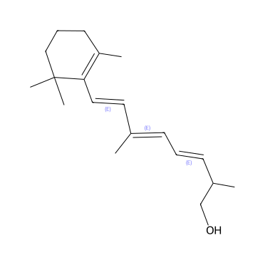 CC1=C(/C=C/C(C)=C/C=C/C(C)CO)C(C)(C)CCC1